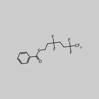 O=C(SCCC(F)(F)CCC(F)(F)C(F)(F)F)c1ccccc1